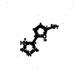 CC(C)c1ccc(-c2nnn[nH]2)o1